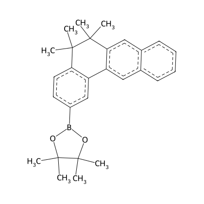 CC1(C)OB(c2ccc3c(c2)-c2cc4ccccc4cc2C(C)(C)C3(C)C)OC1(C)C